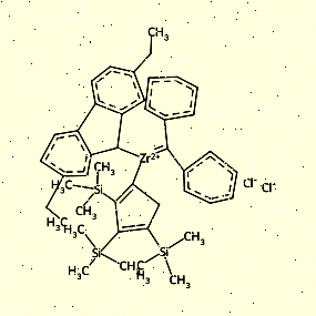 CCc1ccc2c(c1)[CH]([Zr+2]([C]1=C([Si](C)(C)C)C([Si](C)(C)C)=C([Si](C)(C)C)C1)=[C](c1ccccc1)c1ccccc1)c1cc(CC)ccc1-2.[Cl-].[Cl-]